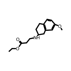 CCOC(=O)CCNC1CCc2ccc(OC)cc2C1